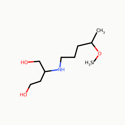 CC(CCCNC(CO)CCO)O[SiH3]